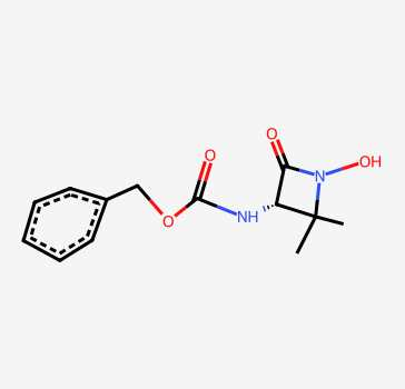 CC1(C)[C@H](NC(=O)OCc2ccccc2)C(=O)N1O